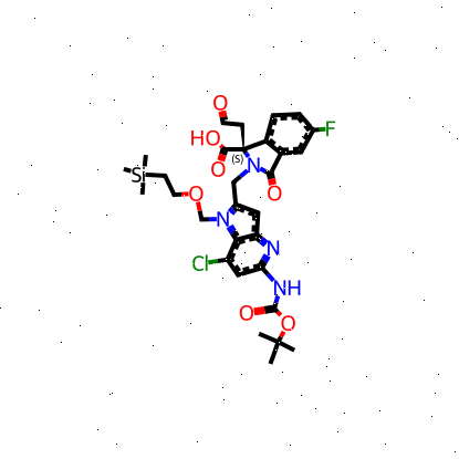 CC(C)(C)OC(=O)Nc1cc(Cl)c2c(cc(CN3C(=O)c4cc(F)ccc4[C@@]3(CC=O)C(=O)O)n2COCC[Si](C)(C)C)n1